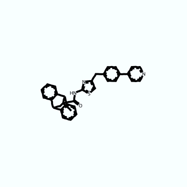 CC1(C(=O)Nc2nc(Cc3ccc(-c4ccncc4)cc3)cs2)CC2c3ccccc3C1c1ccccc12